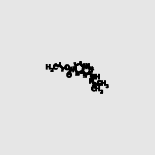 C=CCOC(=O)N1CCc2nnc(NN=C(C)C)cc2C1